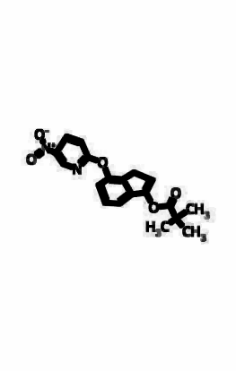 CC(C)(C)C(=O)OC1=CCc2c(Oc3ccc([N+](=O)[O-])cn3)cccc21